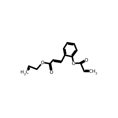 C=CCOC(=O)C=Cc1ccccc1OC(=O)C=C